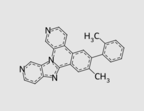 Cc1ccccc1-c1cc2c3ccncc3n3c4cnccc4nc3c2cc1C